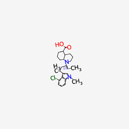 C/C=C(/CC(C)c1cn(CC)c2cccc(Cl)c12)N1CCCC2C(C(=O)O)CCCC21